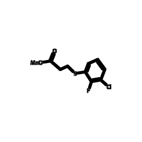 COC(=O)CCSc1cccc(Cl)c1F